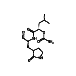 CC(C)C[C@H](OC(N)=O)C(=O)N[C@H](C=O)CC1CCNC1=O